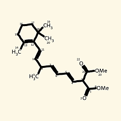 COC(=O)C(/C=C/C=C/C(C)/C=C/C1=C(C)CCCC1(C)C)C(=O)OC